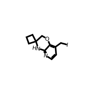 ICc1ccnc2c1OCC1(CCC1)N2